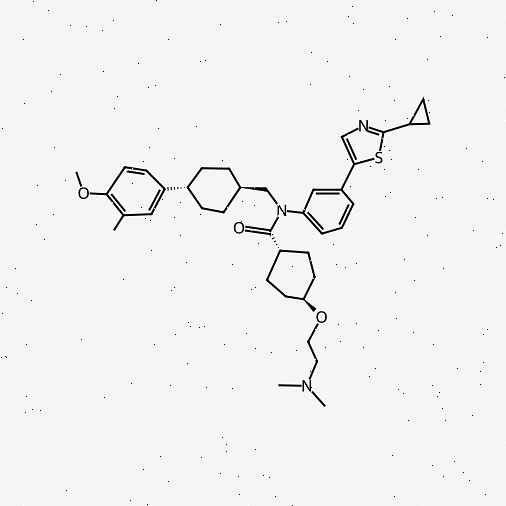 COc1ccc([C@H]2CC[C@H](CN(c3cccc(-c4cnc(C5CC5)s4)c3)C(=O)[C@H]3CC[C@H](OCCN(C)C)CC3)CC2)cc1C